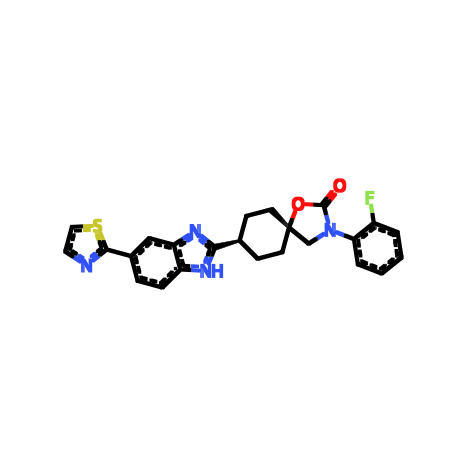 O=C1O[C@]2(CC[C@H](c3nc4cc(-c5nccs5)ccc4[nH]3)CC2)CN1c1ccccc1F